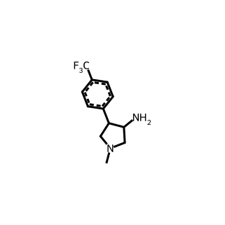 CN1CC(N)C(c2ccc(C(F)(F)F)cc2)C1